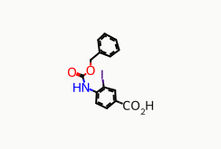 O=C(Nc1ccc(C(=O)O)cc1I)OCc1ccccc1